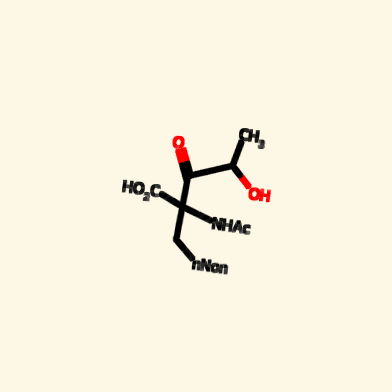 CCCCCCCCCCC(NC(C)=O)(C(=O)O)C(=O)C(C)O